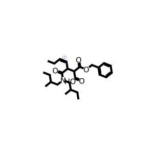 CC/C=C\C(C(=O)N(CC(C)CC)CC(C)CC)C(C(=O)O)C(=O)OCc1ccccc1